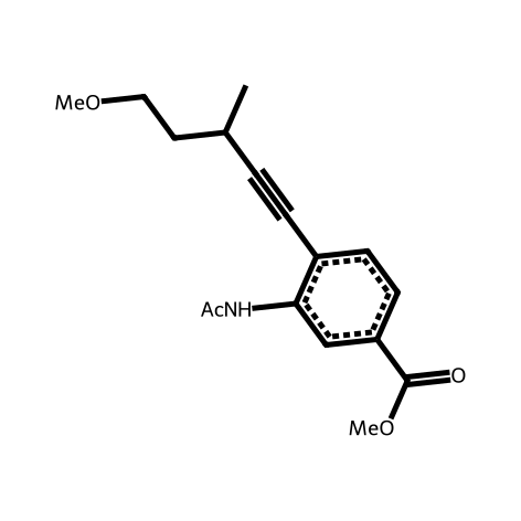 COCCC(C)C#Cc1ccc(C(=O)OC)cc1NC(C)=O